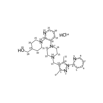 Cc1nn(-c2ccccn2)c(C)c1CN1CCN(c2cccnc2N2CCC(CO)CC2)CC1.Cl